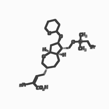 CCCC(=CC[C@H]1CC[C@@H]2[C@@H](CO[Si](C)(C)CC(C)C)[C@H](OC3CCCCO3)C[C@@H]2OC1)C(=O)O